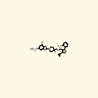 O=C(O)c1cc(F)c2nc(N3CCC(F)(COCc4c(-c5ccccc5C(F)(F)F)noc4C4CC4)CC3)sc2c1